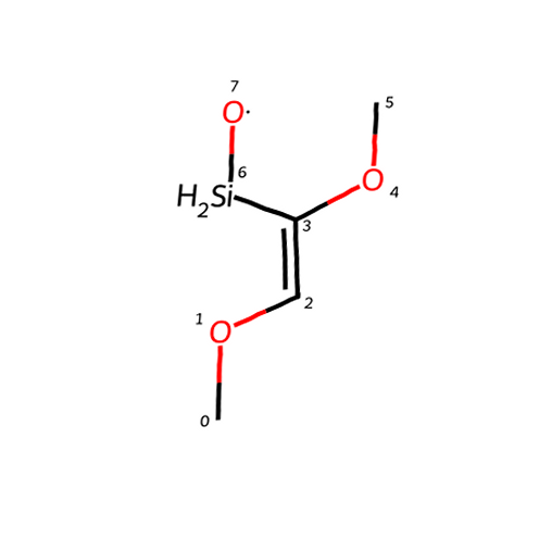 COC=C(OC)[SiH2][O]